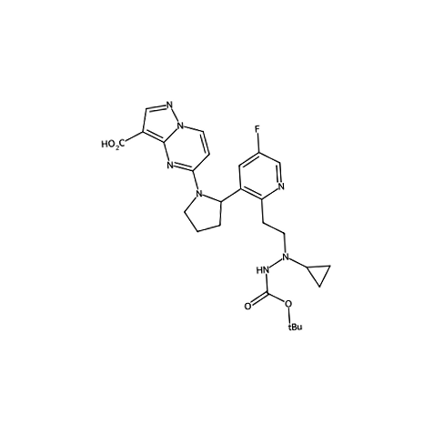 CC(C)(C)OC(=O)NN(CCc1ncc(F)cc1C1CCCN1c1ccn2ncc(C(=O)O)c2n1)C1CC1